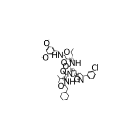 CCC[C@H](NC(=O)[C@@H]1C[C@]2(CC(c3cccc(Cl)c3)=NO2)CN1C(=O)[C@@H](NC(=O)CC1CCCCC1)C(C)C)C(=O)C(=O)NCc1cc(OC)cc(OC)c1